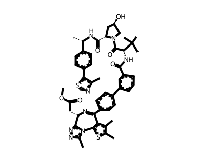 COC(=O)C[C@@H]1N=C(c2ccc(-c3cccc(C(=O)N[C@H](C(=O)N4C[C@H](O)C[C@H]4C(=O)N[C@@H](C)c4ccc(-c5scnc5C)cc4)C(C)(C)C)c3)cc2)c2c(sc(C)c2C)-n2c(C)nnc21